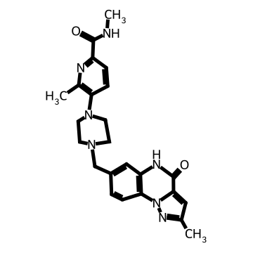 CNC(=O)c1ccc(N2CCN(Cc3ccc4c(c3)[nH]c(=O)c3cc(C)nn34)CC2)c(C)n1